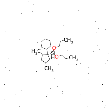 CCCO[SiH](OCCC)C1(C2CCCCC2)CC(C)CC1C